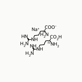 N=C(N)NCCC[C@H](N)C(=O)O.N=C(N)NCCC[C@H](N)C(=O)[O-].[Na+]